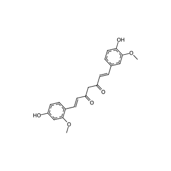 COc1cc(C=CC(=O)CC(=O)C=Cc2ccc(O)cc2OC)ccc1O